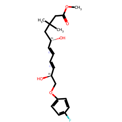 COC(=O)CC(C)(C)C[C@H](O)/C=C/C=C/[C@H](O)COc1ccc(F)cc1